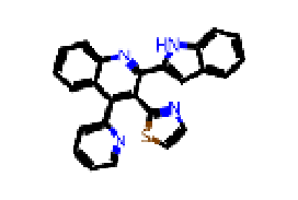 c1ccc(-c2c(-c3nccs3)c(-c3cc4ccccc4[nH]3)nc3ccccc23)nc1